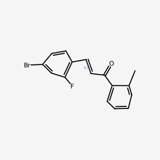 Cc1ccccc1C(=O)/C=C/c1ccc(Br)cc1F